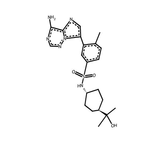 Cc1ccc(S(=O)(=O)N[C@H]2CC[C@H](C(C)(C)O)CC2)cc1-c1cnc2c(N)ncnn12